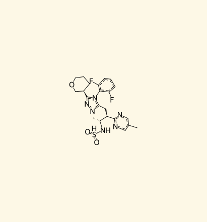 Cc1cnc([C@H](Cc2nnc([C@@H]3CCCOC3)n2-c2c(F)cccc2F)[C@@H](C)N[SH](=O)=O)nc1